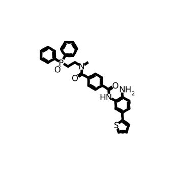 CN(CCP(=O)(c1ccccc1)c1ccccc1)C(=O)c1ccc(C(=O)Nc2cc(-c3cccs3)ccc2N)cc1